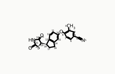 Cc1cc(C#N)ccc1Oc1ccc2c(c1)CC[C@H]2C1SC(=O)NC1=O